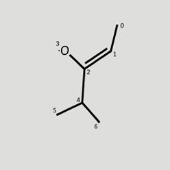 C/C=C(\[O])C(C)C